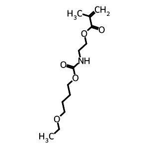 C=C(C)C(=O)OCCNC(=O)OCCCCOCC